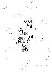 NC(CCC(=O)N[C@H](CS)C(=O)N(CC(=O)O)c1ccc([N+](=O)[O-])cc1[N+](=O)[O-])C(=O)O